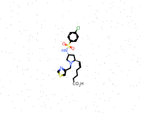 O=C(O)CCC/C=C\[C@@H]1C[C@@H](NS(=O)(=O)c2ccc(Cl)cc2)CN1Cc1cscn1